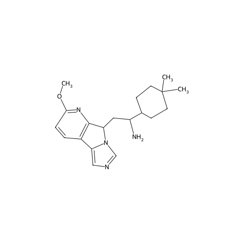 COc1ccc2c(n1)C(CC(N)C1CCC(C)(C)CC1)n1cncc1-2